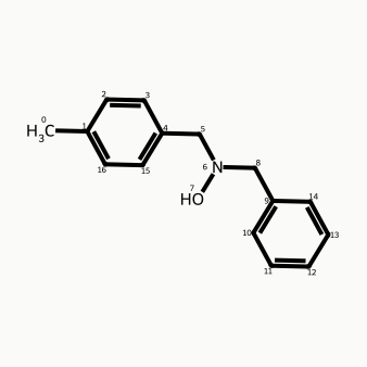 Cc1ccc(CN(O)Cc2ccccc2)cc1